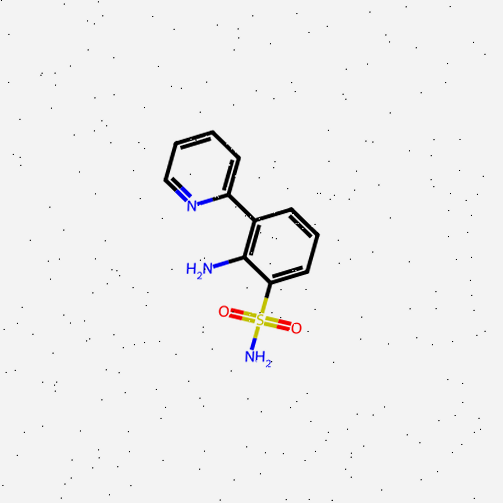 Nc1c(-c2ccccn2)cccc1S(N)(=O)=O